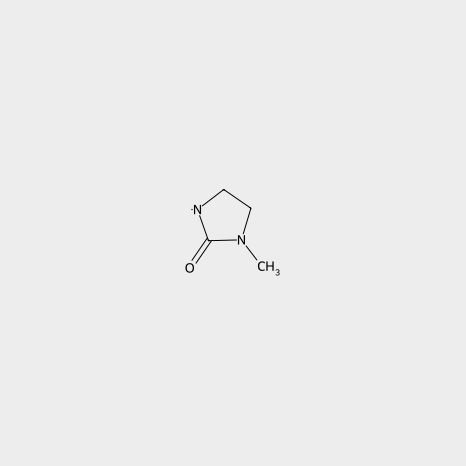 CN1CC[N]C1=O